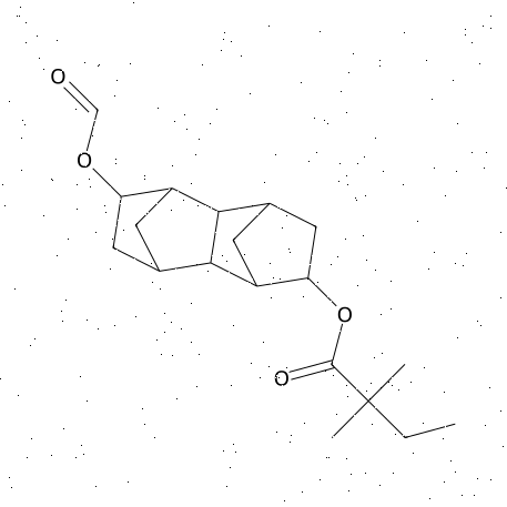 CCC(C)(C)C(=O)OC1CC2CC1C1C3CC(OC=O)C(C3)C21